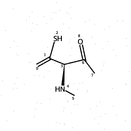 C=C(S)[C@H](NC)C(C)=O